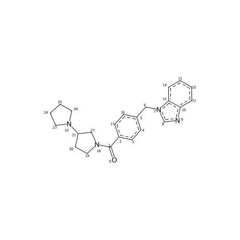 O=C(c1ccc(Cn2cnc3ccccc32)cc1)N1CCC(N2CCCC2)C1